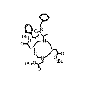 CC(N1CCN(CC(=O)OC(C)(C)C)CCN(CC(=O)OC(C)(C)C)CCN(CC(=O)OC(C)(C)C)CC1)P(=O)(OCc1ccccc1)OCc1ccccc1